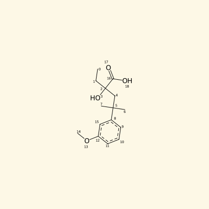 CCC(O)(CC(C)(C)c1cccc(OC)c1)C(=O)O